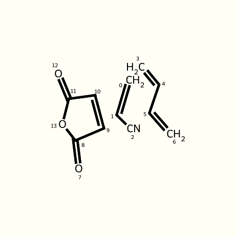 C=CC#N.C=CC=C.O=C1C=CC(=O)O1